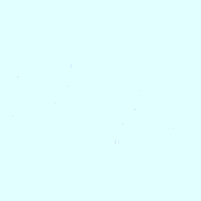 CCC1=C([Si](C)(C)c2ccc([Si](C)(C)C3=C(CC)C4CCC3C4)cc2)C2CCC1C2